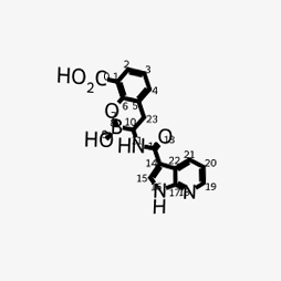 O=C(O)c1cccc2c1OB(O)C(NC(=O)c1c[nH]c3ncccc13)C2